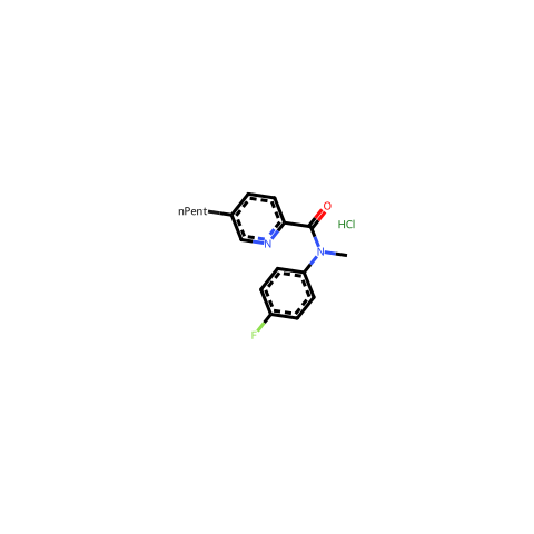 CCCCCc1ccc(C(=O)N(C)c2ccc(F)cc2)nc1.Cl